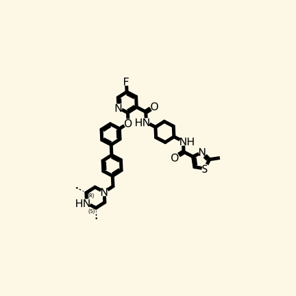 Cc1nc(C(=O)NC2CCC(NC(=O)c3cc(F)cnc3Oc3cccc(-c4ccc(CN5C[C@@H](C)N[C@@H](C)C5)cc4)c3)CC2)cs1